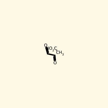 CC(=O)O.O=CC=O